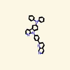 c1ccc(N(c2ccccc2)c2ccc3c(c2)c2cccnc2n3-c2ccc(-c3ccc4ccncc4n3)cc2)cc1